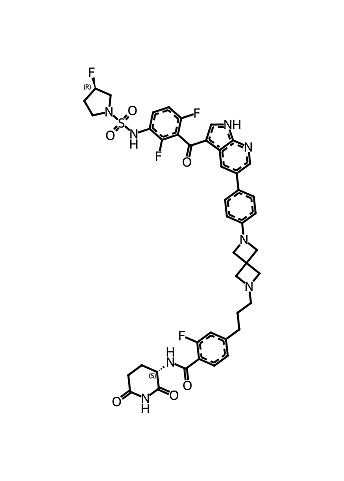 O=C1CC[C@H](NC(=O)c2ccc(CCCN3CC4(C3)CN(c3ccc(-c5cnc6[nH]cc(C(=O)c7c(F)ccc(NS(=O)(=O)N8CC[C@@H](F)C8)c7F)c6c5)cc3)C4)cc2F)C(=O)N1